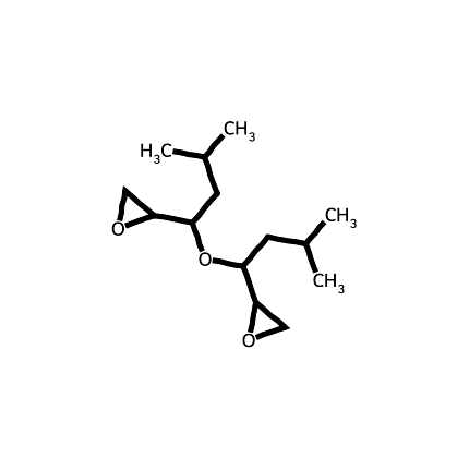 CC(C)CC(OC(CC(C)C)C1CO1)C1CO1